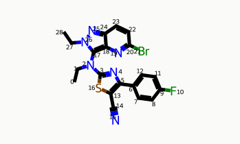 CCN(c1nc(-c2ccc(F)cc2)c(C#N)s1)c1c2nc(Br)ccc2nn1CC